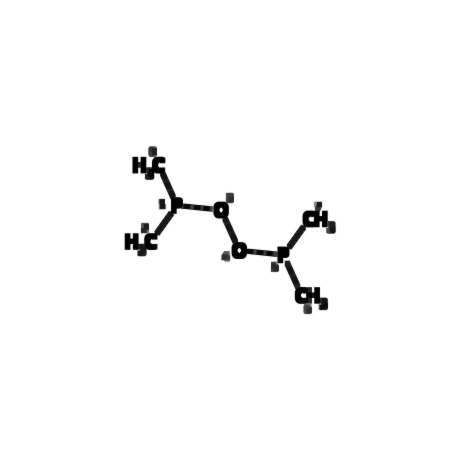 CP(C)OOP(C)C